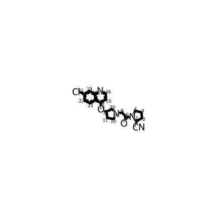 N#CC1CCCN1C(=O)CN1CCC(Oc2ccnc3cc(Cl)ccc23)C1